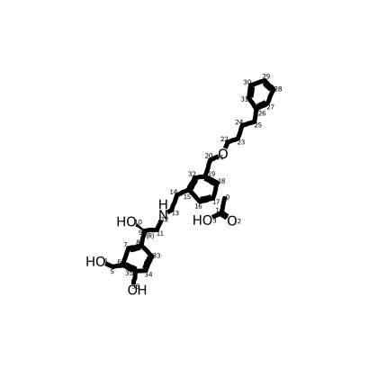 CC(=O)O.OCc1cc([C@@H](O)CNCCc2cccc(COCCCCc3ccccc3)c2)ccc1O